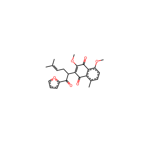 COC1=C(C(CC=C(C)C)C(=O)c2ccco2)C(=O)c2c(C)ccc(OC)c2C1=O